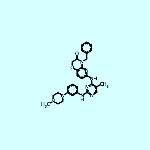 Cc1cnc(Nc2cccc(N3CCN(C)CC3)c2)nc1Nc1ccc2c(n1)N(Cc1ccccc1)C(=O)CO2